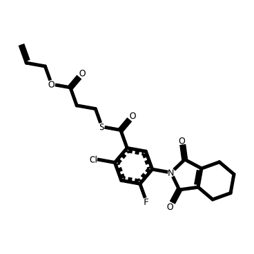 C=CCOC(=O)CCSC(=O)c1cc(N2C(=O)C3=C(CCCC3)C2=O)c(F)cc1Cl